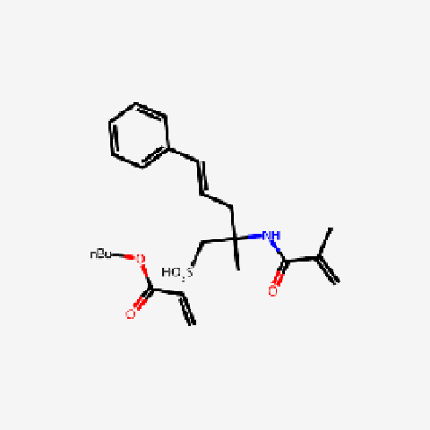 C=C(C)C(=O)NC(C)(CC=Cc1ccccc1)CS(=O)(=O)O.C=CC(=O)OCCCC